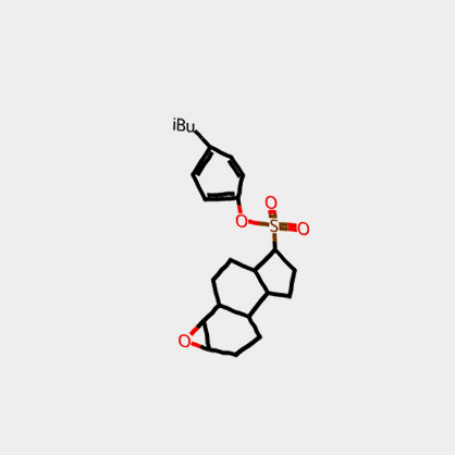 CCC(C)c1ccc(OS(=O)(=O)C2CCC3C4CCC5OC5C4CCC32)cc1